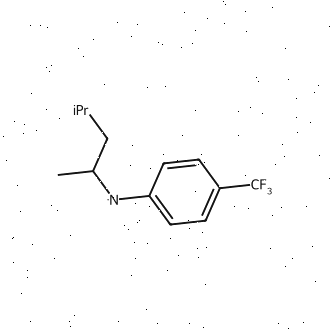 CC(C)CC(C)[N]c1ccc(C(F)(F)F)cc1